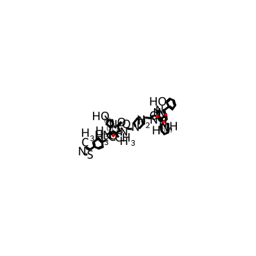 Cc1ncsc1-c1ccc(CNC(=O)[C@@H]2C[C@@H](O)CN2C(=O)[C@@H](NC(=O)CN2CCN(CCOc3cc(N4[C@@H]5CC[C@H]4CN(c4cc(-c6ccccc6O)nnc4N)C5)ccn3)CC2)C(C)(C)C)cc1